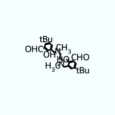 CN(CCCN(C)Cc1cc(C(C)(C)C)cc(C=O)c1O)Cc1cc(C(C)(C)C)cc(C=O)c1O